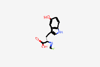 O=C(O)[C@H](Cc1c[nH]c2ccc(O)cc12)N=CF